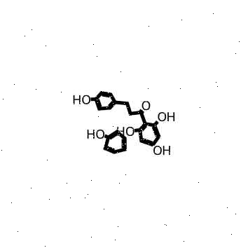 O=C(CCc1ccc(O)cc1)c1c(O)cc(O)cc1O.Oc1ccccc1